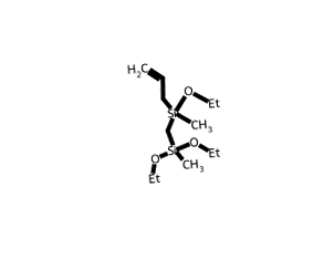 C=CC[Si](C)(C[Si](C)(OCC)OCC)OCC